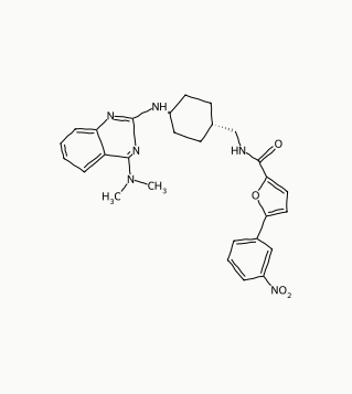 CN(C)c1nc(N[C@H]2CC[C@@H](CNC(=O)c3ccc(-c4cccc([N+](=O)[O-])c4)o3)CC2)nc2ccccc12